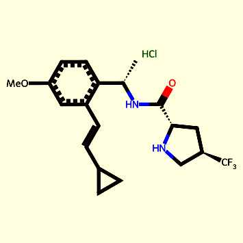 COc1ccc([C@H](C)NC(=O)[C@@H]2C[C@@H](C(F)(F)F)CN2)c(/C=C/C2CC2)c1.Cl